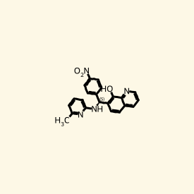 Cc1cccc(N[C@@H](c2ccc([N+](=O)[O-])cc2)c2ccc3cccnc3c2O)n1